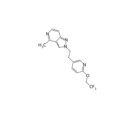 Cc1nccc2nn(CCc3ccc(OCC(F)(F)F)nc3)cc12